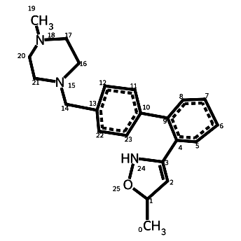 CC1C=C(c2ccccc2-c2ccc(CN3CCN(C)CC3)cc2)NO1